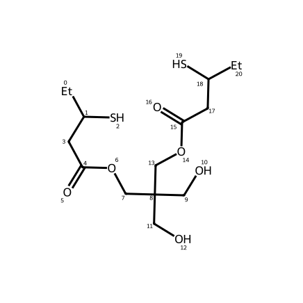 CCC(S)CC(=O)OCC(CO)(CO)COC(=O)CC(S)CC